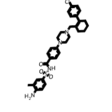 Cc1cc(S(=O)(=O)NC(=O)c2ccc(N3CCN(CC4=C(c5ccc(Cl)cc5)CCCC4)CC3)cc2)ccc1N